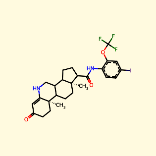 C[C@]12CCC3C(CNC4=CC(=O)CC[C@@]43C)C1CCC2C(=O)Nc1ccc(I)cc1OC(F)(F)F